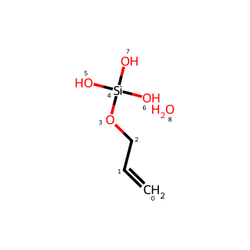 C=CCO[Si](O)(O)O.O